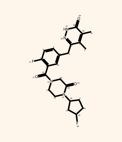 Cc1c(Cc2ccc(F)c(C(=O)N3CCN(C4CCC(F)C4)C(=O)C3)c2)n[nH]c(=O)c1C